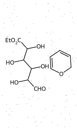 C1=CCOC=C1.CCOC(=O)C(O)C(O)C(O)C(O)C=O